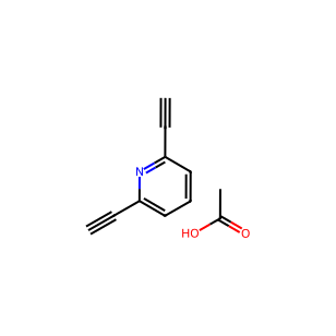 C#Cc1cccc(C#C)n1.CC(=O)O